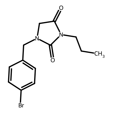 CCCN1C(=O)CN(Cc2ccc(Br)cc2)C1=O